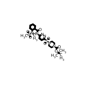 CN(c1ccccc1C(=O)Nc1ccc(S(=O)(=O)N2CCN(C(=O)OC(C)(C)C)CC2)nn1)S(C)(=O)=O